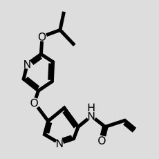 C=CC(=O)Nc1cncc(Oc2ccc(OC(C)C)nc2)c1